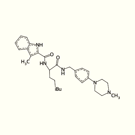 CCC(C)CCC(NC(=O)c1[nH]c2ccccc2c1C)C(=O)NCc1ccc(N2CCN(C)CC2)cc1